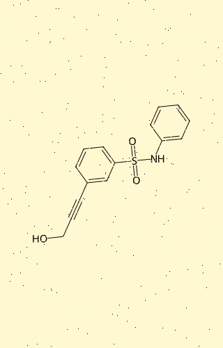 O=S(=O)(Nc1ccccc1)c1cccc(C#CCO)c1